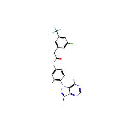 Cc1cc(NC(=O)[C@H](O)c2cc(Cl)cc(C(F)(F)F)c2)ccc1-n1nc(C)c2ncnc(N)c21